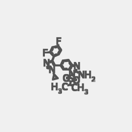 CC(C)S(=O)(=O)n1c(N)nc2ccc(-c3c(-c4ccc(F)cc4F)ncn3C3CC3)cc21